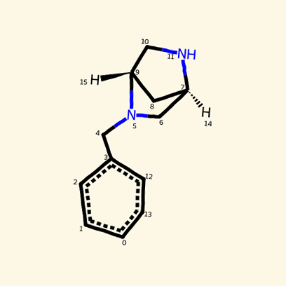 c1ccc(CN2C[C@H]3C[C@H]2CN3)cc1